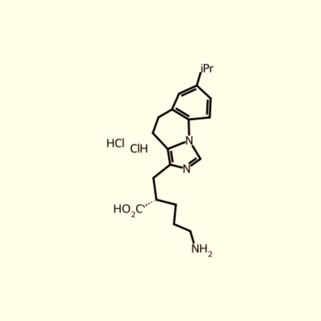 CC(C)c1ccc2c(c1)CCc1c(C[C@H](CCCN)C(=O)O)ncn1-2.Cl.Cl